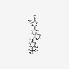 N#Cc1ccc(N2CCc3c(ncnc3Nc3ccc(C4(O)COC4)c(F)n3)C2)cc1Cl